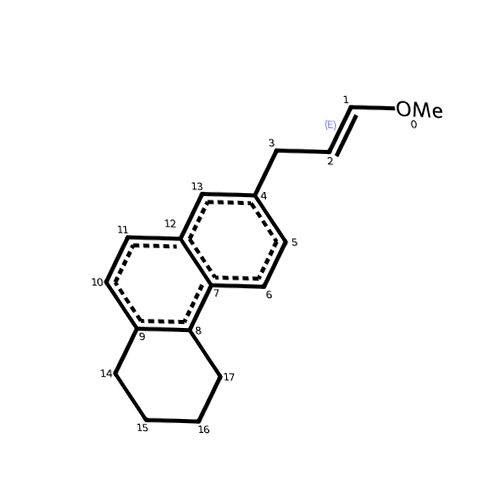 CO/C=C/Cc1ccc2c3c(ccc2c1)CCCC3